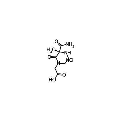 C[C@@]1(C(N)=O)NCCN(CC(=O)O)C1=O.Cl